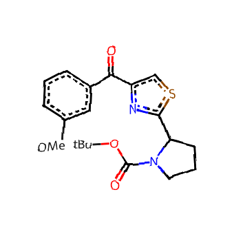 COc1cccc(C(=O)c2csc(C3CCCN3C(=O)OC(C)(C)C)n2)c1